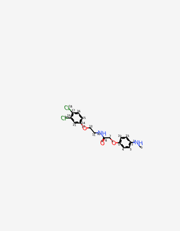 CNc1ccc(OCC(=O)NCCOc2ccc(Cl)c(Cl)c2)cc1